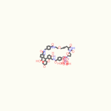 NCc1ccc(C(=O)NCc2c(O)ccc3c(-c4cc(C(=O)NCc5ccc(C(=O)NCCOCC#CCc6cn([C@H]7CC[C@@H](COP(OO)(OOO)(P(=O)=O)P(=O)=O)O7)c(=O)[nH]c6=O)cc5)ccc4C(=O)O)c4ccc(=O)cc-4oc23)cc1